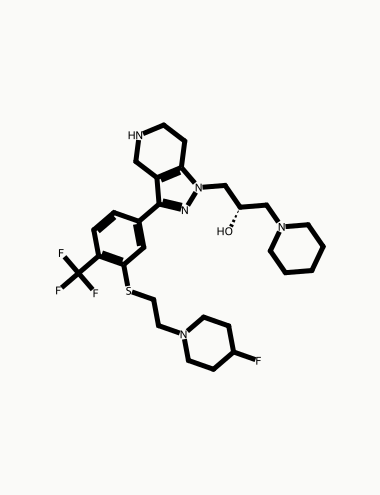 O[C@@H](CN1CCCCC1)Cn1nc(-c2ccc(C(F)(F)F)c(SCCN3CCC(F)CC3)c2)c2c1CCNC2